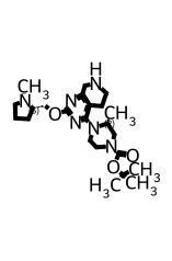 C[C@@H]1CN(C(=O)OC(C)(C)C)CCN1c1nc(OC[C@@H]2CCCN2C)nc2c1CCNC2